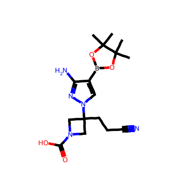 CC1(C)OB(c2cn(C3(CCC#N)CN(C(=O)O)C3)nc2N)OC1(C)C